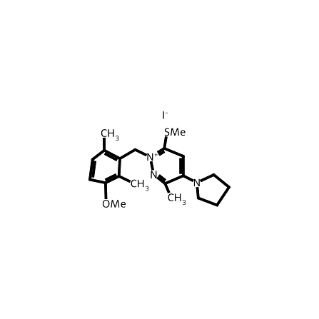 COc1ccc(C)c(C[n+]2nc(C)c(N3CCCC3)cc2SC)c1C.[I-]